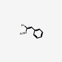 CC(=O)N/C(=C\c1ccccc1)C(C)=O